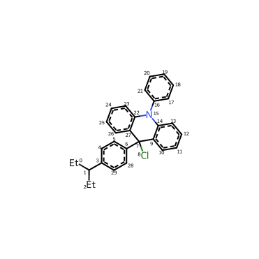 CCC(CC)c1ccc(C2(Cl)c3ccccc3N(c3ccccc3)c3ccccc32)cc1